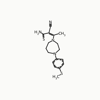 CSc1ccc(N2CCCN(/C(C)=C(/C#N)C(N)=S)CC2)cc1